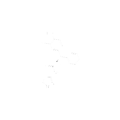 CC(C)(C(=O)Nc1nncs1)[C@H](c1ccccc1)c1ccc(O)c(Br)c1